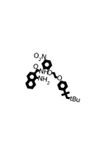 CC(C)(C)CC(C)(C)c1ccc(OCCOc2ccc([N+](=O)[O-])cc2NC(=O)c2ccc3ccccc3c2N)cc1